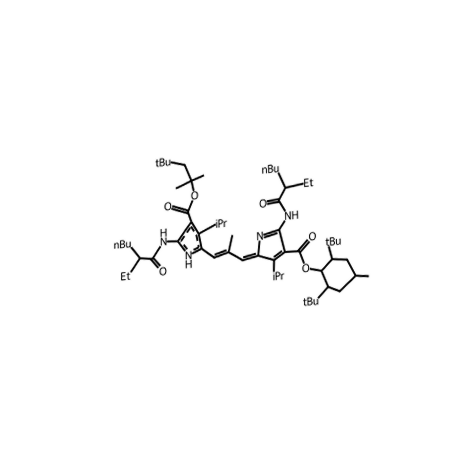 CCCCC(CC)C(=O)NC1=N/C(=C\C(C)=C\c2[nH]c(NC(=O)C(CC)CCCC)c(C(=O)OC(C)(C)CC(C)(C)C)c2C(C)C)C(C(C)C)=C1C(=O)OC1C(C(C)(C)C)CC(C)CC1C(C)(C)C